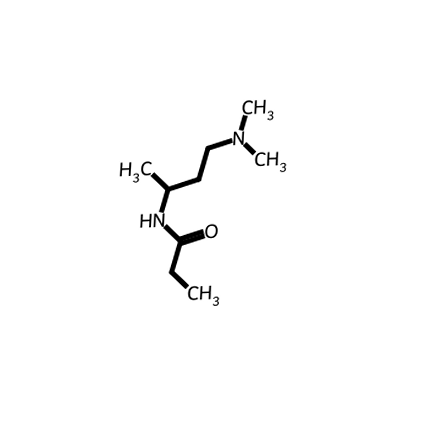 CCC(=O)NC(C)CCN(C)C